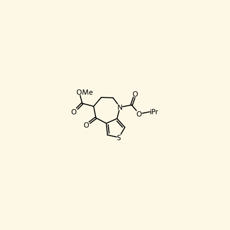 COC(=O)C1CCN(C(=O)OC(C)C)c2cscc2C1=O